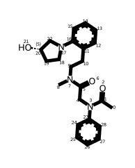 CC(=O)N(CC(=O)N(C)CCc1ccccc1N1CC[C@H](O)C1)c1ccccc1